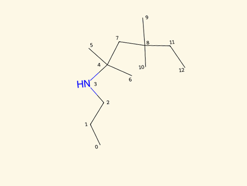 CCCNC(C)(C)CC(C)(C)CC